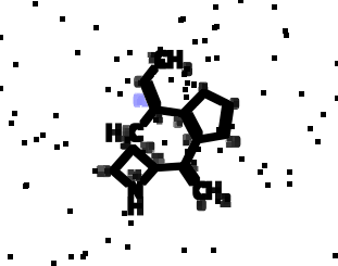 C=C(C1=C(/C(C)=C\C)CC=C1)C1CCN1